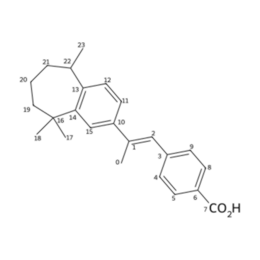 CC(=Cc1ccc(C(=O)O)cc1)c1ccc2c(c1)C(C)(C)CCCC2C